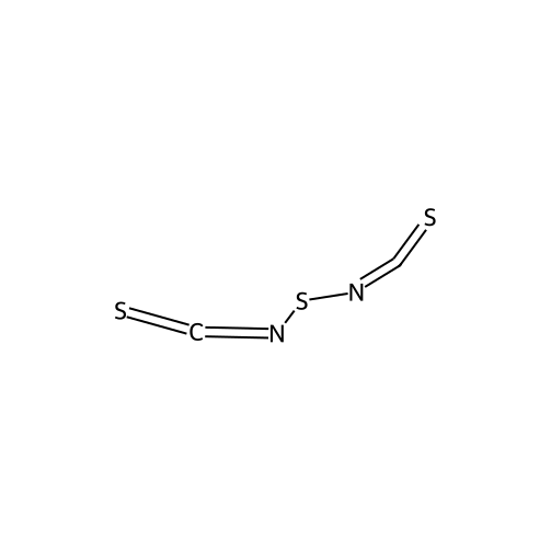 S=C=NSN=C=S